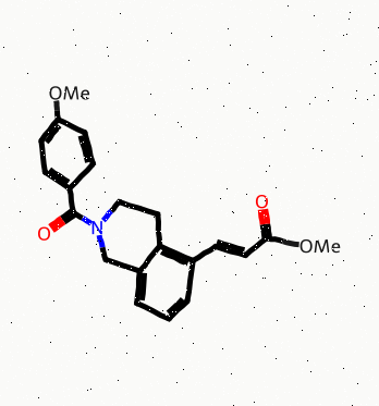 COC(=O)/C=C/c1cccc2c1CCN(C(=O)c1ccc(OC)cc1)C2